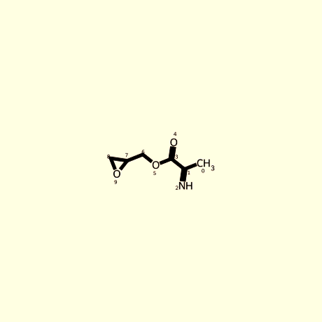 CC(=N)C(=O)OCC1CO1